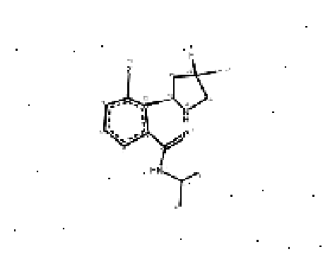 CC(C)NC(=O)c1cccc(F)c1[C@H]1CC(F)(F)CN1